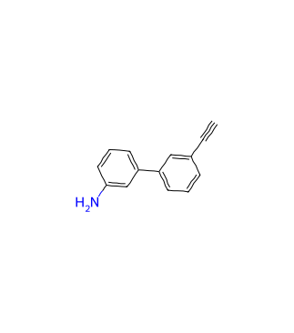 C#Cc1cccc(-c2cccc(N)c2)c1